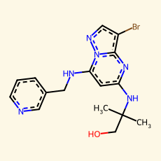 CC(C)(CO)Nc1cc(NCc2cccnc2)n2ncc(Br)c2n1